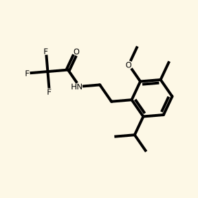 COc1c(C)ccc(C(C)C)c1CCNC(=O)C(F)(F)F